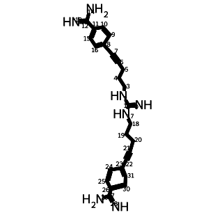 N=C(NCCCC#Cc1ccc(C(=N)N)cc1)NCCCC#Cc1ccc(C(=N)N)cc1